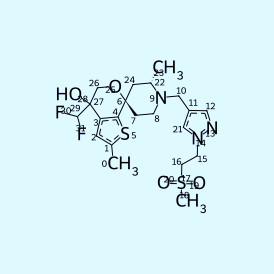 Cc1cc2c(s1)[C@]1(CCN(Cc3cnn(CCS(C)(=O)=O)c3)[C@@H](C)C1)OCC2(O)C(F)F